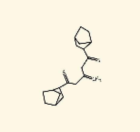 C=C(CC(=S)C1CC2CCC1C2)CC(=S)C1CC2CCC1C2